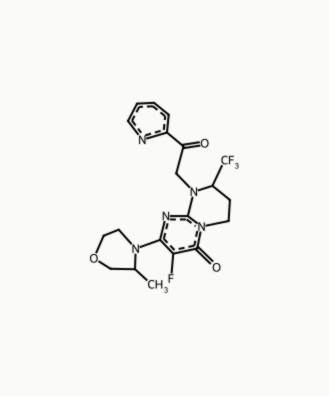 CC1COCCN1c1nc2n(c(=O)c1F)CCC(C(F)(F)F)N2CC(=O)c1ccccn1